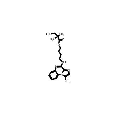 CCC(C)(C)C(=O)OCCCCNc1nc2ccccc2n2c(C)cnc12